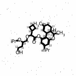 CCCc1cc(OC(=O)C(OCC(CCO)OC(C)C)C2CCC2)c2c(c1)OC(C)[C@@H]1CCC(C)=CC21